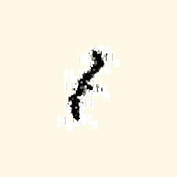 C=CC(=O)Nc1cc(Nc2nc(-c3ccnc(N4CCn5c(cc6c5CC(C)(C)C6)C4=O)c3CO)cnc2OC)ccc1N1CCN(C2CCN(c3cccc(C(C)(C)NP(=O)(O)O)n3)[C@H](C)C2)C[C@@H]1C